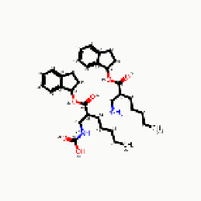 CCCCCC(CN)C(=O)OC1CCc2ccccc21.CCCCCC(CNC(=O)O)C(=O)OC1CCc2ccccc21